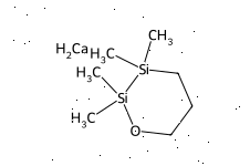 C[Si]1(C)CCCO[Si]1(C)C.[CaH2]